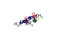 CCOC(=O)[C@H](Cc1ccc(-n2c(=O)c3ccc(CN(C)C)cc3n(C)c2=O)cc1)NC(=O)c1c(Cl)cccc1Cl